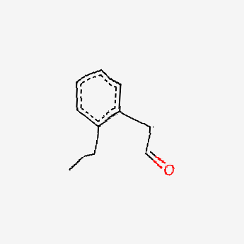 CCc1ccccc1[CH]C=O